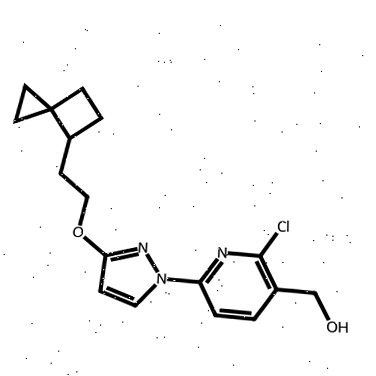 OCc1ccc(-n2ccc(OCCC3CCC34CC4)n2)nc1Cl